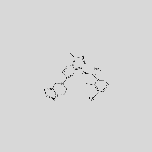 Cc1c([C@@H](N)Nc2nnc(C)c3ccc(N4CCn5nccc5C4)cc23)cccc1C(F)(F)F